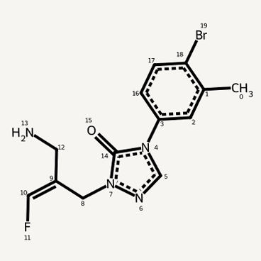 Cc1cc(-n2cnn(C/C(=C\F)CN)c2=O)ccc1Br